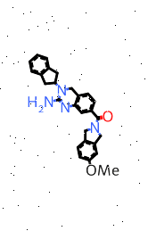 COc1ccc2c(c1)CN(C(=O)c1ccc3c(c1)N=C(N)N(C1Cc4ccccc4C1)C3)C2